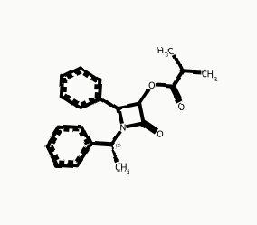 CC(C)C(=O)OC1C(=O)N([C@@H](C)c2ccccc2)C1c1ccccc1